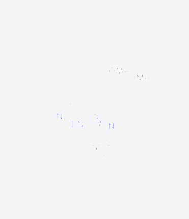 CCOC(=O)c1cnn2c1NC(c1ccccn1)CC2c1ccc(OC)c(OC)c1